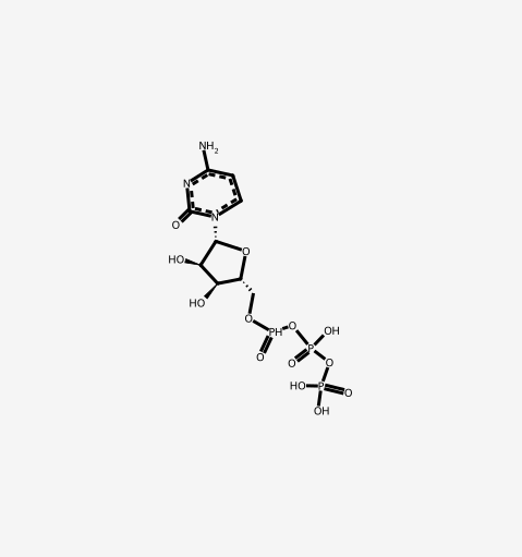 Nc1ccn([C@@H]2O[C@H](CO[PH](=O)OP(=O)(O)OP(=O)(O)O)[C@@H](O)[C@H]2O)c(=O)n1